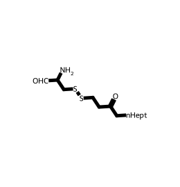 CCCCCCCCC(=O)CCSSCC(N)C=O